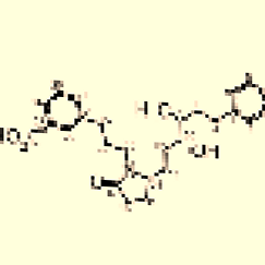 C[C@@H](CCc1ccccc1)[C@H](O)C=C[C@H]1CCC(=O)N1CCCc1cccc(C(=O)O)c1